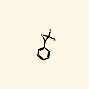 BrC1(Br)OC1c1ccccc1